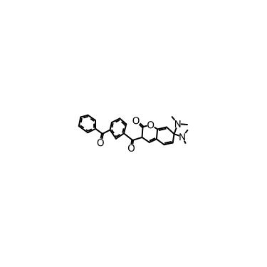 CN(C)C1(N(C)C)C=CC2=CC(C(=O)c3cccc(C(=O)c4ccccc4)c3)C(=O)OC2=C1